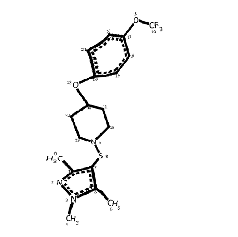 Cc1nn(C)c(C)c1SN1CCC(Oc2ccc(OC(F)(F)F)cc2)CC1